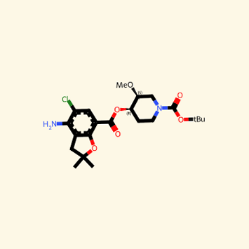 CO[C@H]1CN(C(=O)OC(C)(C)C)CC[C@H]1OC(=O)c1cc(Cl)c(N)c2c1OC(C)(C)C2